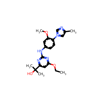 CCOc1cc(C(C)(C)O)nc(Nc2ccc(-n3cnc(C)c3)c(OC)c2)n1